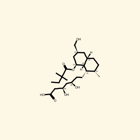 CCC(C)(C)C(=O)O[C@H]1C[C@@H](CO)C[C@@H]2CC[C@H](C)[C@H](CC[C@@H](O)C[C@@H](O)CC(=O)O)[C@@H]21